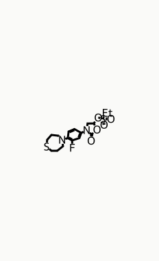 CCS(=O)(=O)OC1CN(c2ccc(N3CCCSCCC3)c(F)c2)C(=O)O1